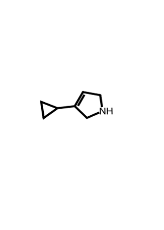 C1=C(C2CC2)CNC1